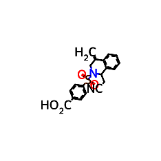 C=C1CN(S(=O)(=O)c2ccc(C(=O)O)cc2)C(CC#N)c2ccccc21